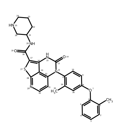 Cc1ccccc1Oc1ccc(N2C(=O)Nc3c(C(=O)NC4CCCNC4)sc4nccc2c34)c(C)c1